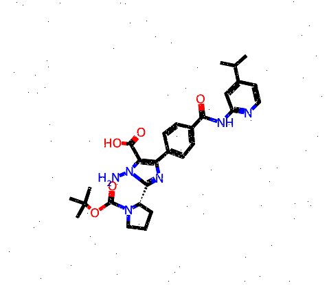 CC(C)c1ccnc(NC(=O)c2ccc(-c3nc([C@@H]4CCCN4C(=O)OC(C)(C)C)n(N)c3C(=O)O)cc2)c1